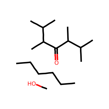 CC(C)C(C)C(=O)C(C)C(C)C.CCCCCC.CO